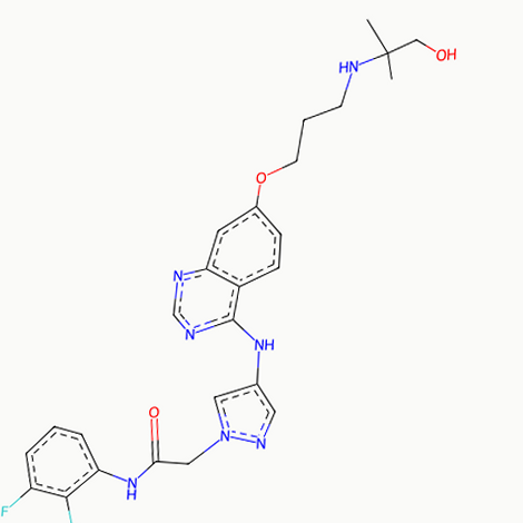 CC(C)(CO)NCCCOc1ccc2c(Nc3cnn(CC(=O)Nc4cccc(F)c4F)c3)ncnc2c1